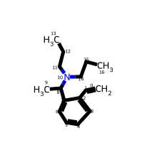 C=Cc1ccccc1C(C)N(CCC)CCC